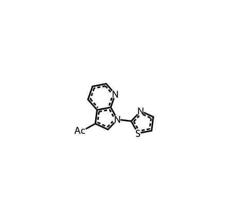 CC(=O)c1cn(-c2nccs2)c2ncccc12